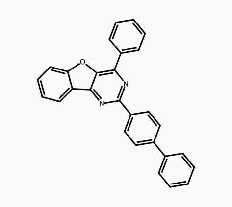 c1ccc(-c2ccc(-c3nc(-c4ccccc4)c4oc5ccccc5c4n3)cc2)cc1